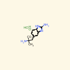 C[C@](N)(Cc1ccc2[nH]c(N)nc2c1)C(=O)O.Cl.Cl